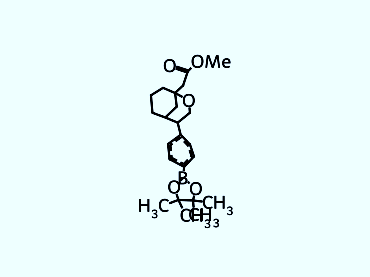 COC(=O)CC12CCCC(C1)C(c1ccc(B3OC(C)(C)C(C)(C)O3)cc1)CO2